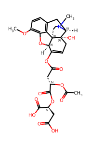 COc1ccc2c3c1O[C@@H]1C(OC(=O)C[C@H](OC(C)=O)C(=O)O[C@@H](CC(=O)O)C(=O)O)=CC[C@]4(O)[C@H](C2)N(C)CC[C@@]314